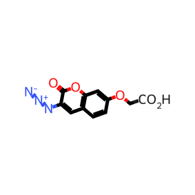 [N-]=[N+]=Nc1cc2ccc(OCC(=O)O)cc2oc1=O